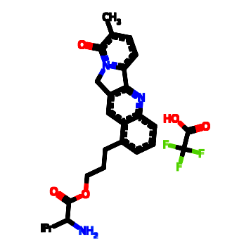 Cc1ccc2n(c1=O)Cc1cc3c(CCCOC(=O)C(N)C(C)C)cccc3nc1-2.O=C(O)C(F)(F)F